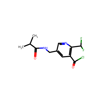 CC(C)C(=O)NCc1cnc(C(F)F)c(C(=O)Cl)c1